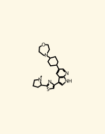 CN1CCCC1c1nc(-c2c[nH]c3ncc(C4CCC(N5CCCOCC5)CC4)cc23)cs1